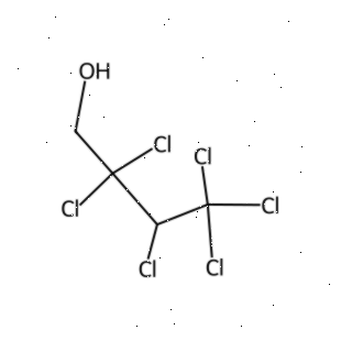 OCC(Cl)(Cl)C(Cl)C(Cl)(Cl)Cl